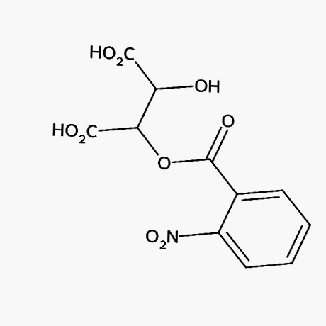 O=C(OC(C(=O)O)C(O)C(=O)O)c1ccccc1[N+](=O)[O-]